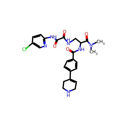 CN(C)C(=O)C(CNC(=O)C(=O)Nc1ccc(Cl)cn1)NC(=O)c1ccc(C2=CCNCC2)cc1